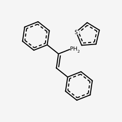 PC(=Cc1ccccc1)c1ccccc1.c1ccsc1